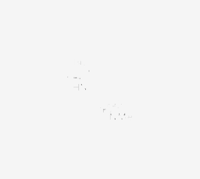 CNS(=O)(=O)CCCNC(=O)OC(C)(C)C